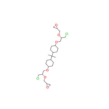 CC(C)(C1CCC(OCC(CCl)OCC2CO2)CC1)C1CCC(OCC(CCl)OCC2CO2)CC1